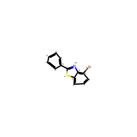 Brc1cccc2sc(-c3ccccc3)nc12